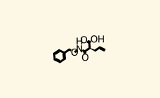 C=CC[C@H](C(=O)O)C(=O)NOCc1ccccc1